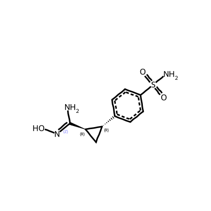 N/C(=N\O)[C@@H]1C[C@H]1c1ccc(S(N)(=O)=O)cc1